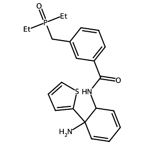 CCP(=O)(CC)Cc1cccc(C(=O)NC2C=CC=CC2(N)c2cccs2)c1